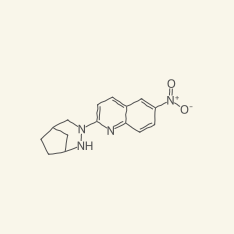 O=[N+]([O-])c1ccc2nc(N3CC4CCC(C4)N3)ccc2c1